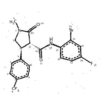 CN1C[C@H](c2ccc(C(F)(F)F)cc2)[C@@H](C(=O)Nc2ccc(F)cc2Br)C1=O